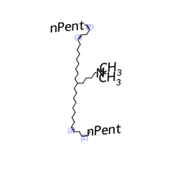 CCCCC/C=C\C/C=C\CCCCCCCCC(CCCCCCCC/C=C\C/C=C\CCCCC)CCCCN(C)C